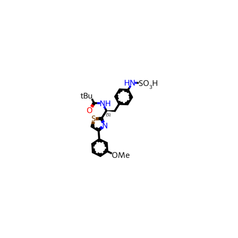 COc1cccc(-c2csc([C@H](Cc3ccc(NS(=O)(=O)O)cc3)NC(=O)C(C)(C)C)n2)c1